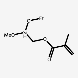 C=C(C)C(=O)OC[SiH](OC)OCC